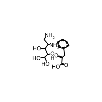 NCC(N)C(O)C(O)C(O)O.O=C(O)C(=O)Cc1ccccc1